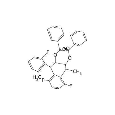 Cc1cccc(F)c1C1c2c(F)ccc(F)c2C(C)C(OC(=O)c2ccccc2)C1OC(=O)c1ccccc1